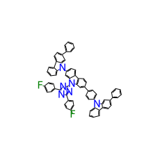 Fc1ccc(-c2nc(-c3ccc(F)cc3)nc(-n3c4cc(-c5ccc(-n6c7ccccc7c7ccc(-c8ccccc8)cc76)cc5)ccc4c4ccc(-n5c6ccccc6c6ccc(-c7ccccc7)cc65)cc43)n2)cc1